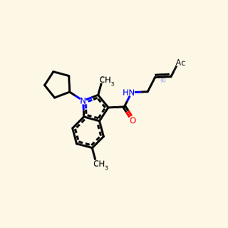 CC(=O)/C=C/CNC(=O)c1c(C)n(C2CCCC2)c2ccc(C)cc12